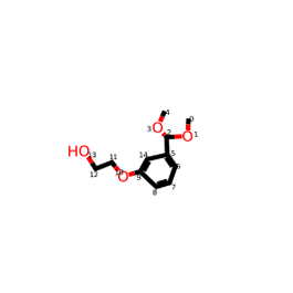 COC(OC)c1cccc(OCCO)c1